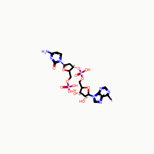 Nc1ccn([C@H]2C[C@H](OP(=O)(O)OCC3OC(n4cnc5c(I)ncnc54)[C@H](O)[C@@H]3O)C(COP(=O)(O)O)O2)c(=O)n1